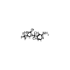 CC(C)(c1ccnc(N)c1)N1C[C@@H](C(F)(F)F)NC1=O